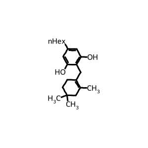 CCCCCCc1cc(O)c(CC2=C(C)CC(C)(C)CC2)c(O)c1